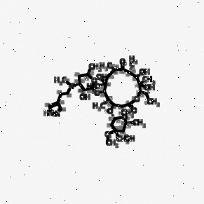 CC[C@H]1OC(=O)[C@H](C)[C@@H](O[C@H]2C[C@@](C)(OC)[C@@H](O)[C@H](C)O2)[C@H](C)[C@@H](O[C@@H]2O[C@H](C)C[C@H](N(C)CCc3cn[nH]c3)[C@H]2O)[C@](C)(O)C[C@@H](C)C(=O)[C@H](C)[C@@H](O)[C@]1(C)O